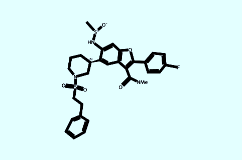 CNC(=O)c1c(-c2ccc(F)cc2)oc2cc(N[S+](C)[O-])c([C@@H]3CCCN(S(=O)(=O)CCc4ccccc4)C3)cc12